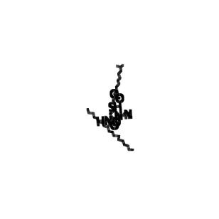 CCCCCCCCCCC(CCCCCCCC)C(=O)NC(CCSCCC(=O)OCCCCCCCC(C)C)C(=O)NCCN(C)C